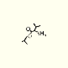 CC(C)COC(=O)C(N)C(C)C